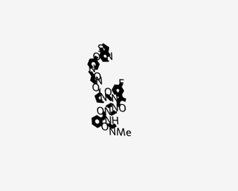 CN[C@@H](C)C(=O)NC(C(=O)N1CCN(C(=O)c2c(C)c3cc(F)ccc3n2CC(=O)N2CCC[C@H]2COc2cc(CN3CCC(Oc4ccnc5ccsc45)CC3)on2)CC1)C1CCCCC1